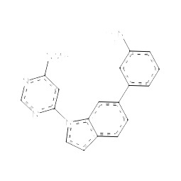 CNc1cc(-n2ccc3ccc(-c4cccc([N+](=O)[O-])c4)cc32)ncn1